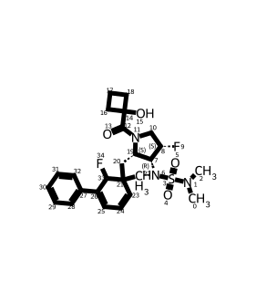 CN(C)S(=O)(=O)N[C@H]1[C@@H](F)CN(C(=O)C2(O)CCC2)[C@H]1CC1(C)C=CC=C(c2ccccc2)C1F